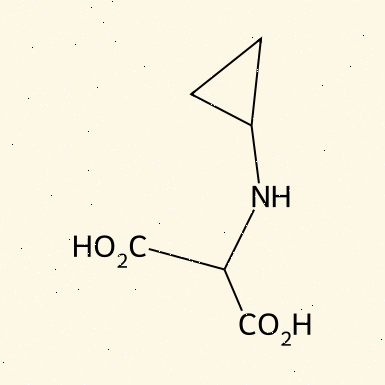 O=C(O)C(NC1CC1)C(=O)O